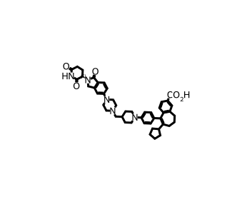 O=C1CC[C@H](N2Cc3cc(N4CCN(CC5CCN(c6ccc(C7=C(C8CCCC8)CCCc8cc(C(=O)O)ccc87)cc6)CC5)CC4)ccc3C2=O)C(=O)N1